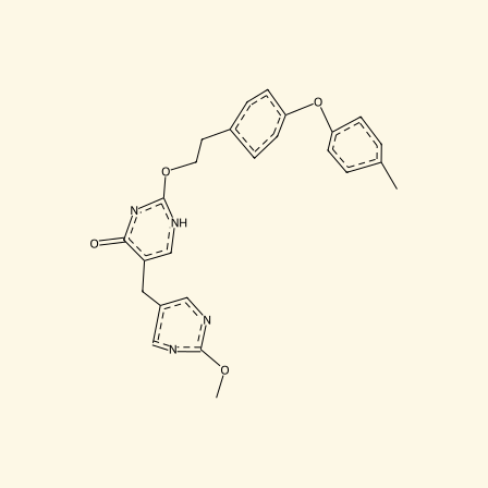 COc1ncc(Cc2c[nH]c(OCCc3ccc(Oc4ccc(C)cc4)cc3)nc2=O)cn1